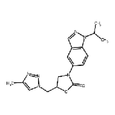 Cc1cn(CC2CN(c3ccc4c(cnn4C(C)C)c3)C(=O)O2)nn1